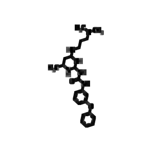 CC1CC(NCCCN(C)C)NC(NC(=O)Nc2cccc(Oc3ccccc3)c2)N1